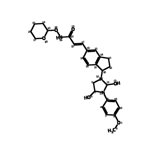 COc1ccc(N2C(O)CN(C3CCc4cc(/C=C/C(=O)NOC5CCCCO5)ccc43)C2O)cc1